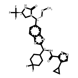 COC[C@H](c1ccc2oc([C@@H](NC(=O)c3nocc3C3CC3)C3CCC(F)(F)CC3)nc2c1)N1C[C@@H](C(F)(F)F)NC1=O